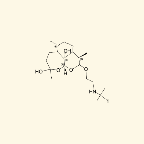 C[C@H]1C(OCCNC(C)(C)I)O[C@@H]2OC(C)(O)CCC3[C@H](C)CCC1[C@]32O